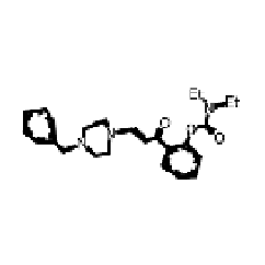 CCN(CC)C(=O)Oc1ccccc1C(=O)C=CN1CCN(Cc2ccccc2)CC1